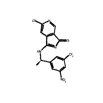 C[C@@H](NC1=NC(=O)c2cnc(Cl)cc21)c1cc([N+](=O)[O-])cc(C(F)(F)F)c1